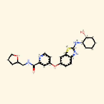 O=C(NCC1CCCO1)c1cc(Oc2ccc3nc(N[C@@H]4CCCC[C@H]4O)sc3c2)ccn1